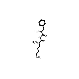 NCCCC[C@H](N)C(=O)NC(=O)[C@@H](N)Cc1ccccc1